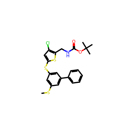 CSc1cc(Sc2cc(Cl)c(CNC(=O)OC(C)(C)C)s2)cc(-c2ccccc2)c1